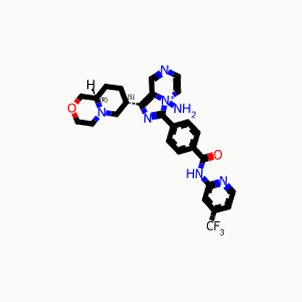 N[N+]12C=CN=CC1=C([C@H]1CC[C@@H]3COCCN3C1)N=C2c1ccc(C(=O)Nc2cc(C(F)(F)F)ccn2)cc1